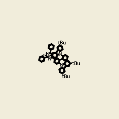 CC(C)(C)c1ccc2c(c1)c1cc(C(C)(C)C)ccc1n2-c1ccccc1-c1cc(-c2cc(-c3ccccc3)nc(-c3ccccc3)n2)ccc1-n1c2ccc(C(C)(C)C)cc2c2cc(C(C)(C)C)ccc21